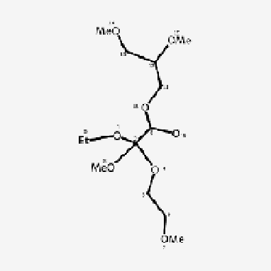 CCOC(OC)(OCCOC)C([O])OCC(COC)OC